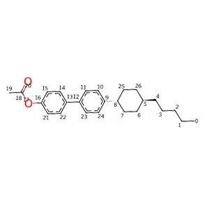 CCCCC[C@H]1CC[C@H](c2ccc(-c3ccc(OC(C)=O)cc3)cc2)CC1